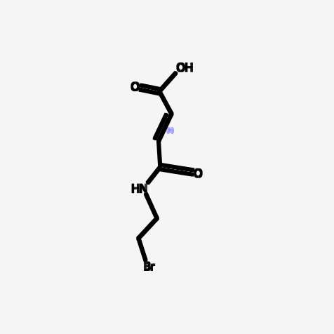 O=C(O)/C=C/C(=O)NCCBr